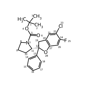 CC(C)(C)OC(=O)N1CCC[C@H]1C1(c2ccccc2)Cc2cc(Cl)c(F)cc2O1